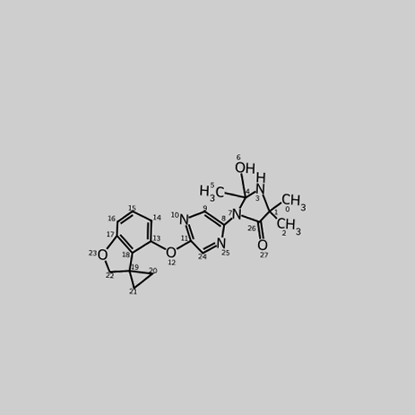 CC1(C)NC(C)(O)N(c2cnc(Oc3cccc4c3C3(CC3)CO4)cn2)C1=O